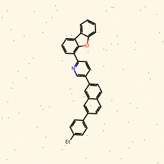 CCc1ccc(-c2ccc3ccc(-c4ccc(-c5cccc6c5oc5ccccc56)nc4)cc3c2)cc1